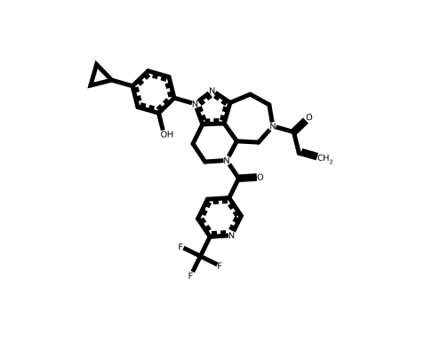 C=CC(=O)N1CCc2nn(-c3ccc(C4CC4)cc3O)c3c2C(C1)N(C(=O)c1ccc(C(F)(F)F)nc1)CC3